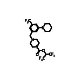 O=C(OC(C(F)(F)F)C(F)(F)F)N1CCN(Cc2cc(N3CCCCC3)cc(C(F)(F)F)c2)CC1